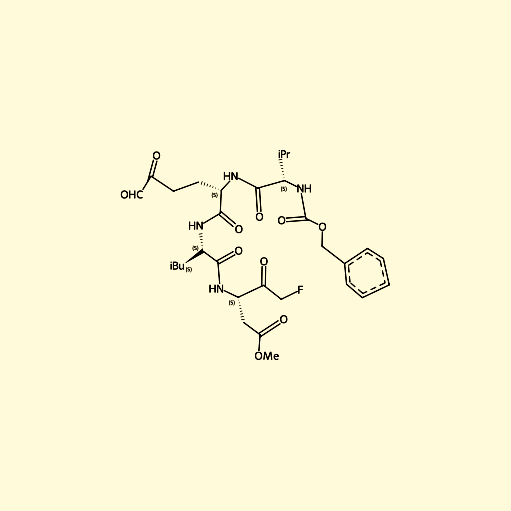 CC[C@H](C)[C@H](NC(=O)[C@H](CCC(=O)C=O)NC(=O)[C@@H](NC(=O)OCc1ccccc1)C(C)C)C(=O)N[C@@H](CC(=O)OC)C(=O)CF